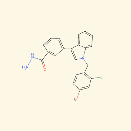 NNC(=O)c1cccc(-c2cn(Cc3ccc(Br)cc3Cl)c3ccccc23)c1